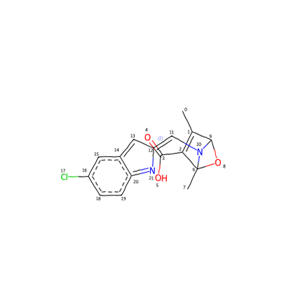 CC1=C(C(=O)O)C2(C)OC1N2/C=C1/C=c2cc(Cl)ccc2=N1